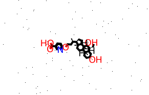 CC[C@H]1[C@@H](O)[C@@H]2[C@H](CC[C@]3(C)[C@@H]([C@H](C)CCOc4ccc(C(=O)O)cn4)CC[C@@H]23)[C@@]2(C)CC[C@@H](O)C[C@@H]12